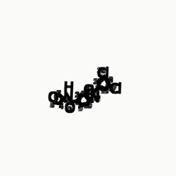 O=C(NC1CCOC1)c1ccc2nc(-c3cc(Cl)cc(Cl)c3)oc2c1